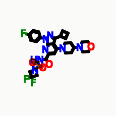 O=C(NS(=O)(=O)N1CC(F)(F)C1)c1cc(N2CCC(N3CCOCC3)CC2)c2c(C3CCC3)nn(-c3ccc(F)cc3)c2n1